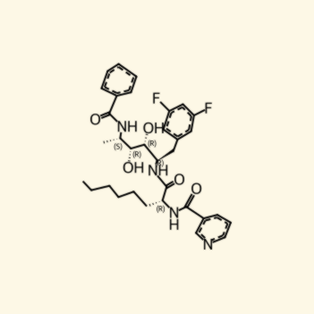 CCCCCC[C@@H](NC(=O)c1cccnc1)C(=O)N[C@H](Cc1cc(F)cc(F)c1)[C@@H](O)[C@H](O)[C@H](C)NC(=O)c1ccccc1